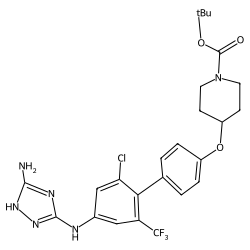 CC(C)(C)OC(=O)N1CCC(Oc2ccc(-c3c(Cl)cc(Nc4n[nH]c(N)n4)cc3C(F)(F)F)cc2)CC1